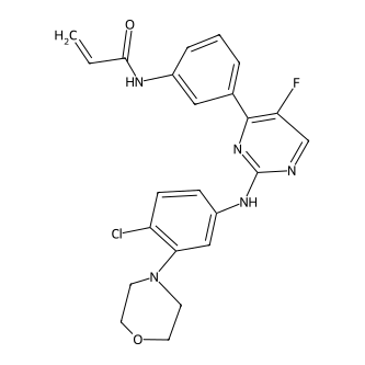 C=CC(=O)Nc1cccc(-c2nc(Nc3ccc(Cl)c(N4CCOCC4)c3)ncc2F)c1